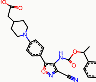 CC(OC(=O)Nc1c(C#N)noc1-c1ccc(N2CCC(CC(=O)O)CC2)cc1)c1ccccc1